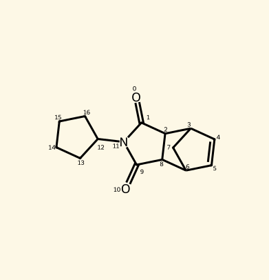 O=C1C2C3C=CC(C3)C2C(=O)N1C1CCCC1